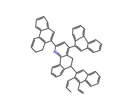 C=Cc1c(/C=C\C)c(C2Cc3c(-c4cc5ccccc5c5ccccc45)cc(-c4cc5ccccc5c5c4CCC=C5)nc3-c3ccccc32)cc2ccccc12